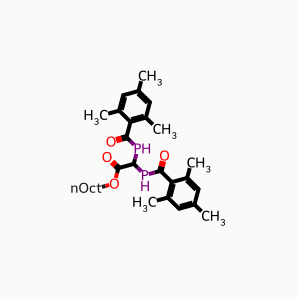 CCCCCCCCOC(=O)C(PC(=O)c1c(C)cc(C)cc1C)PC(=O)c1c(C)cc(C)cc1C